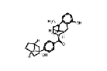 CC1(C)[C@H]2Cc3c(O)cccc3[C@]1(C)CCN2C(=O)c1ccc(CN2[C@@H]3CC[C@H]2C[C@@H](O)C3)cc1